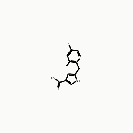 O=C(O)c1c[nH]c(Cc2ncc(F)cc2F)c1